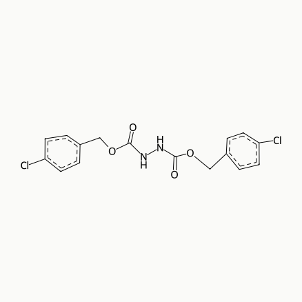 O=C(NNC(=O)OCc1ccc(Cl)cc1)OCc1ccc(Cl)cc1